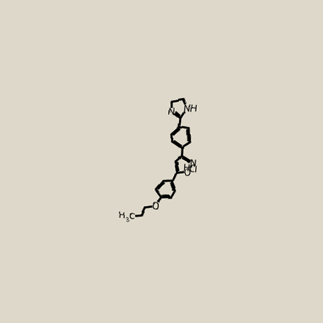 CCCOc1ccc(-c2cc(-c3ccc(C4=NCCN4)cc3)no2)cc1.Cl